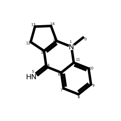 Cn1c2c(c(=N)c3ccccc31)CCC2